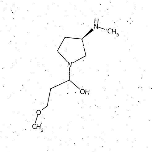 CN[C@@H]1CCN(C(O)CCOC)C1